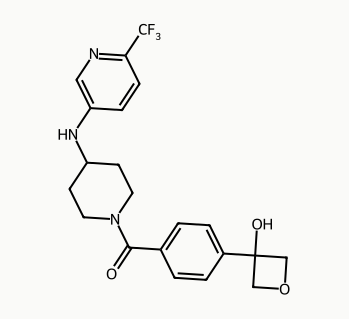 O=C(c1ccc(C2(O)COC2)cc1)N1CCC(Nc2ccc(C(F)(F)F)nc2)CC1